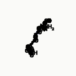 Nc1ncnc2c1c(-c1ccc(Oc3ccccc3)cc1)nn2[C@@H]1CCCN(C(=O)/C=C/CN2CCN(C(=O)CCCCCSc3cccc4c3C(=O)N(C3CCC(=O)NC3=O)C4=O)CC2)C1